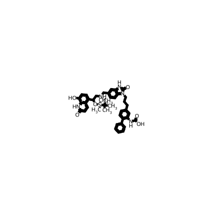 CC(C)(C)[Si](C)(C)OC(CNCc1ccc2c(c1)[nH]c(=O)n2CCCc1ccc(-c2ccccc2)c(NC(=O)O)c1)c1ccc(O)c2[nH]c(=O)ccc12